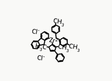 CC1=[C]([Zr+2](=[C](c2ccc(C)cc2)c2ccc(C)cc2)[c]2cccc3c2Cc2ccccc2-3)C(C)C=C1c1ccccc1.[Cl-].[Cl-]